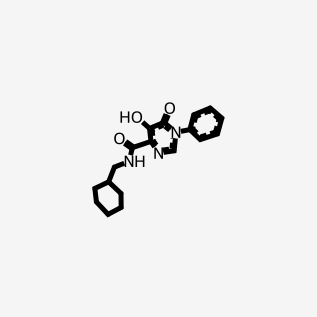 O=C(NCC1CCCCC1)c1ncn(-c2ccccc2)c(=O)c1O